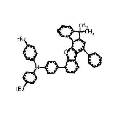 CC(C)(C)c1ccc(N(c2ccc(-c3cccc4c3oc3c5c(cc(-c6ccccc6)c34)C(C)(C)c3ccccc3-5)cc2)c2ccc(C(C)(C)C)cc2)cc1